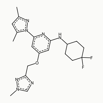 Cc1cc(C)n(-c2cc(OCc3ncn(C)n3)cc(NC3CCC(F)(F)CC3)n2)n1